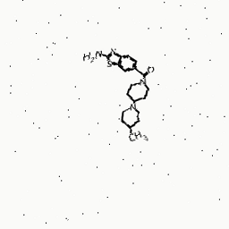 CC1CCN(C2CCN(C(=O)c3ccc4nc(N)sc4c3)CC2)CC1